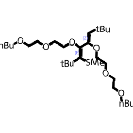 CCCCOCCOCCOC(=C\C(C)(C)C)/C(OCCOCCOCCCC)=C(\SC)C(C)(C)C